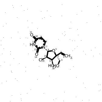 C=C[C@]1(CO)O[C@@H](n2ccc(=O)[nH]c2=O)[C@H](Cl)[C@@H]1O